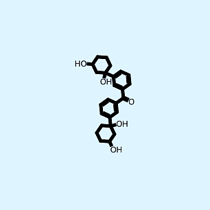 O=C(c1cccc(C2(O)CCCC(O)C2)c1)c1cccc(C2(O)CCCC(O)C2)c1